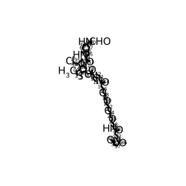 Cc1csc2c(OC(=O)N3CCN(C(=O)CCOCCOCCOCCOCCNC(=O)CCN4C(=O)C=CC4=O)CC3)cc3c(c12)C(CCl)CN3C(=O)c1cc2cc(NC=O)ccc2[nH]1